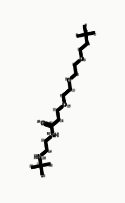 CC(C)(C)CCOCCOCCOCCC(=O)NCCNC(C)(C)C